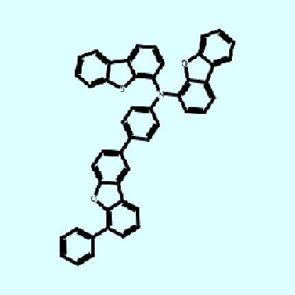 c1ccc(-c2cccc3c2oc2ccc(-c4ccc(N(c5cccc6c5oc5ccccc56)c5cccc6c5sc5ccccc56)cc4)cc23)cc1